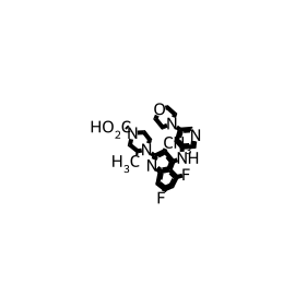 Cc1c(N2CCN(C(=O)O)C[C@@H]2C)nc2cc(F)cc(F)c2c1Nc1cncc(N2CCOCC2)c1